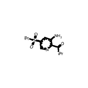 CC(C)C(=O)c1ncc(S(=O)(=O)C(C)C)cc1N